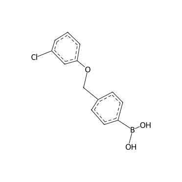 OB(O)c1ccc(COc2cccc(Cl)c2)cc1